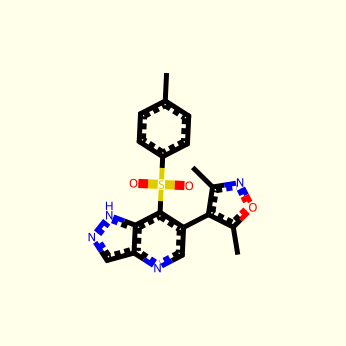 Cc1ccc(S(=O)(=O)c2c(-c3c(C)noc3C)cnc3cn[nH]c23)cc1